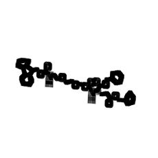 O=C(CCOCCOCCNC(=O)OCC1c2ccccc2-c2ccccc21)N[C@@H](CCC(=O)OCc1ccccc1)C(=O)OCc1ccccc1